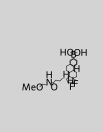 COCCNC(=O)CCC[C@H]1CC(F)(F)[C@@]2(C)CC[C@@H]3c4ccc(B(O)O)cc4CC[C@H]3[C@H]12